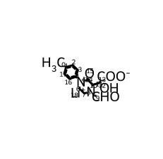 Cc1ccc(N2CCN(C=O)C(C(O)C(=O)[O-])C2=O)cc1.[Li+]